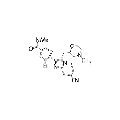 CCc1cc(C(=O)NC)ccc1-c1nc2cc(C#N)ccn2c1CC1CN(C)CCO1